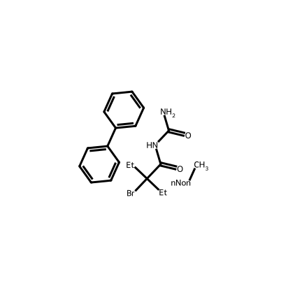 CCC(Br)(CC)C(=O)NC(N)=O.CCCCCCCCCC.c1ccc(-c2ccccc2)cc1